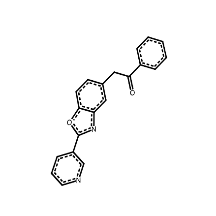 O=C(Cc1ccc2oc(-c3cccnc3)nc2c1)c1ccccc1